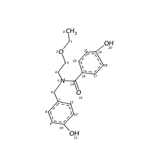 CCOCCN(Cc1ccc(O)cc1)C(=O)c1ccc(O)cc1